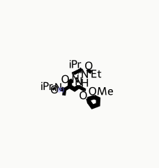 CCC(=O)N[C@H](Cn1nc(COc2ccccc2OC)cc(/C(C)=N/OC(C)C)c1=O)C(C)C